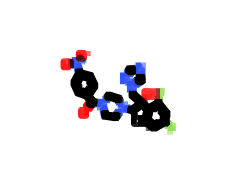 C[C@@H](N1CCN(C(=O)c2ccc([N+](=O)[O-])cc2)CC1)[C@](O)(Cn1cncn1)c1ccc(F)cc1F